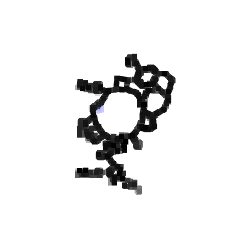 COc1nn(C)cc1C(=O)NS1(=O)=NC(=O)c2ccc3c(c2)N(CC2CCC2C(OC)/C=C/C2OCCC1C2C)CC1(CCCc2cc(Cl)ccc21)CC3